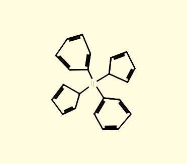 C1=C[CH]([Hf]([c]2ccccc2)([c]2ccccc2)[CH]2C=CC=C2)C=C1